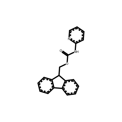 O=C(Nc1ccccn1)OCC1c2ccccc2-c2ccccc21